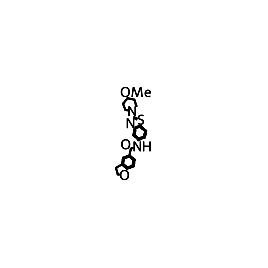 COC1CCN(c2nc3cc(NC(=O)c4ccc5c(c4)CCO5)ccc3s2)CC1